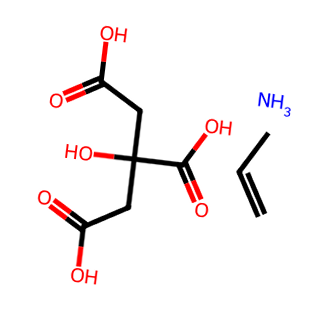 C=CC.N.O=C(O)CC(O)(CC(=O)O)C(=O)O